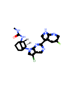 CNC(=O)N[C@H]1C2CCC(CC2)[C@@H]1n1cc(Cl)c2cnc(-c3c[nH]c4ncc(F)cc34)nc21